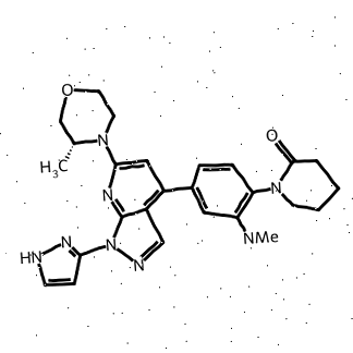 CNc1cc(-c2cc(N3CCOC[C@H]3C)nc3c2cnn3-c2cc[nH]n2)ccc1N1CCCCC1=O